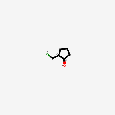 O=C1CCCC1CBr